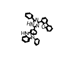 c1ccc(Nc2ccccc2Nc2cccc(C3=NC(c4cccc5c4oc4ccccc45)=NC(c4ccccc4)N3)c2)cc1